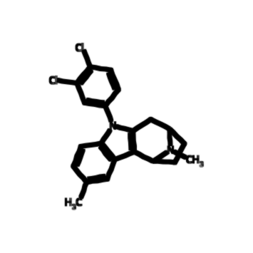 Cc1ccc2c(c1)c1c(n2-c2ccc(Cl)c(Cl)c2)CC2CCC1N2C